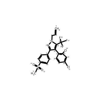 C=CCn1nc(-c2ccc(S(C)(=O)=O)cc2)c(-c2ccc(Cl)cc2Cl)c1C(F)(F)F